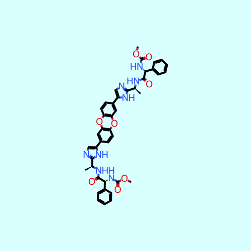 COC(=O)N[C@@H](C(=O)N[C@@H](C)c1ncc(-c2ccc3c(c2)Oc2ccc(-c4cnc([C@H](C)NC(=O)[C@H](NC(=O)OC)c5ccccc5)[nH]4)cc2O3)[nH]1)c1ccccc1